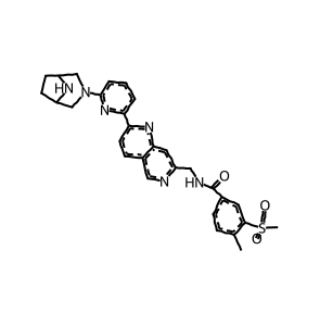 Cc1ccc(C(=O)NCc2cc3nc(-c4cccc(N5CC6CCC(C5)N6)n4)ccc3cn2)cc1S(C)(=O)=O